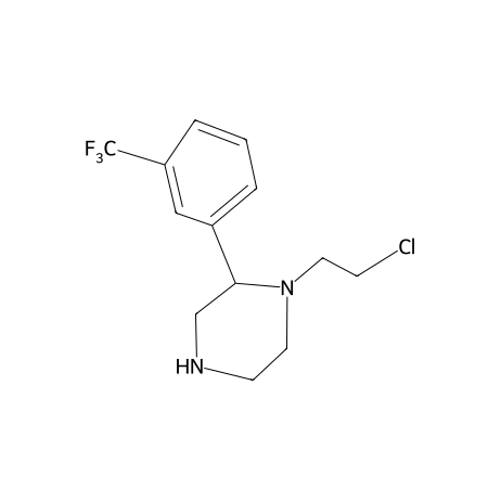 FC(F)(F)c1cccc(C2CNCCN2CCCl)c1